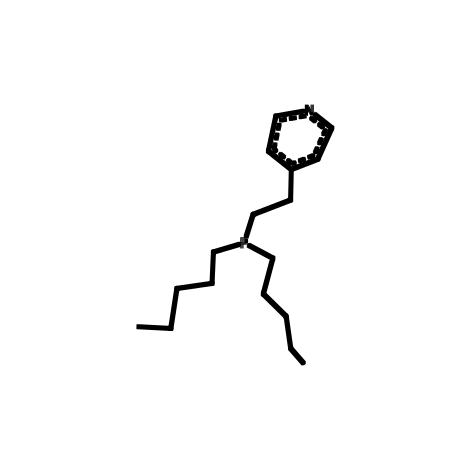 CCCCCP(CCCCC)CCc1ccncc1